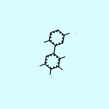 N#Cc1c(O)cc(-c2cc(O)ccc2O)c(O)c1C#N